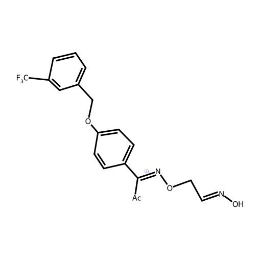 CC(=O)/C(=N\OCC=NO)c1ccc(OCc2cccc(C(F)(F)F)c2)cc1